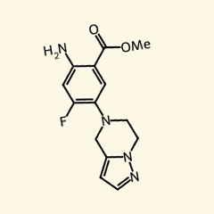 COC(=O)c1cc(N2CCn3nccc3C2)c(F)cc1N